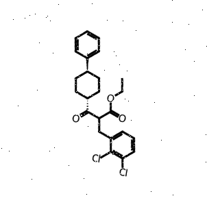 CCOC(=O)C(Cc1cccc(Cl)c1Cl)C(=O)[C@H]1CC[C@H](c2ccccc2)CC1